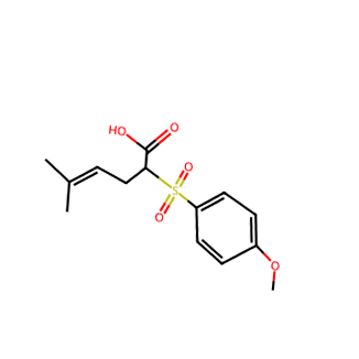 COc1ccc(S(=O)(=O)C(CC=C(C)C)C(=O)O)cc1